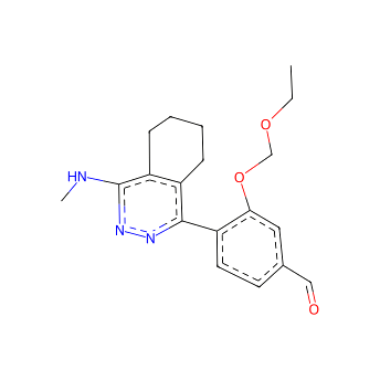 CCOCOc1cc(C=O)ccc1-c1nnc(NC)c2c1CCCC2